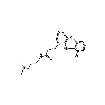 CN(C)CCCNC(=O)CCc1ccccc1Nc1c(Cl)cccc1Cl